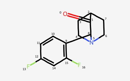 O=C1C2CCN(CC2)C1c1ccc(F)cc1F